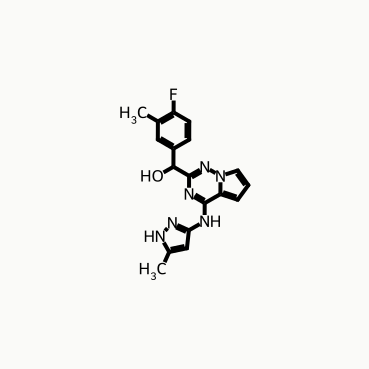 Cc1cc(Nc2nc(C(O)c3ccc(F)c(C)c3)nn3cccc23)n[nH]1